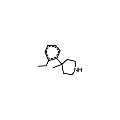 CCc1ccccc1C1(C)CCNCC1